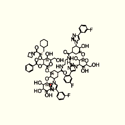 CC1O[C@@H](OC2C(n3cc(-c4cccc(F)c4)nn3)CC(C(=O)NCCNC(=O)C3CC(n4cc(-c5cccc(F)c5)nn4)C(O)[C@H](O[C@@H]4OC(CO)[C@H](O)C(n5cc(-c6cccc(F)c6)nn5)C4O)C3)C[C@H]2O[C@@H]2OC(CO)[C@H](O)C(O[C@@H](CC3CCCCC3)C(=O)N3CCC3)C2OC(=O)c2ccccc2)C(O)C(O)[C@@H]1O